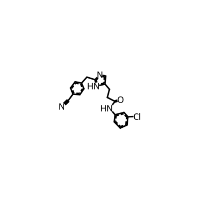 N#Cc1ccc(Cc2ncc(CCC(=O)Nc3cccc(Cl)c3)[nH]2)cc1